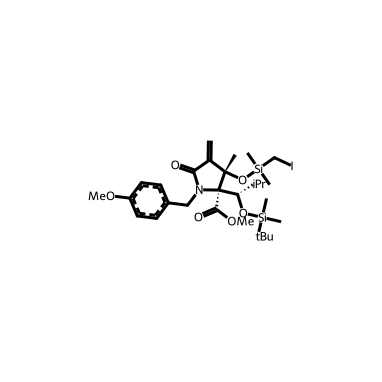 C=C1C(=O)N(Cc2ccc(OC)cc2)[C@](C(=O)OC)([C@@H](O[Si](C)(C)C(C)(C)C)C(C)C)[C@@]1(C)O[Si](C)(C)CI